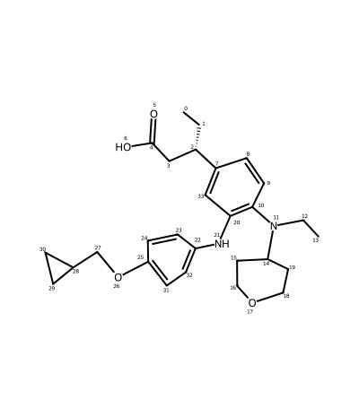 CC[C@@H](CC(=O)O)c1ccc(N(CC)C2CCOCC2)c(Nc2ccc(OCC3CC3)cc2)c1